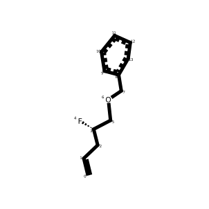 C=CC[C@H](F)COCc1ccccc1